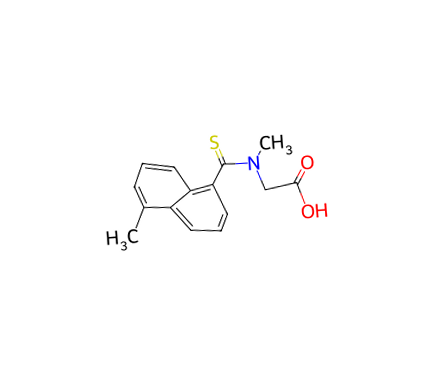 Cc1cccc2c(C(=S)N(C)CC(=O)O)cccc12